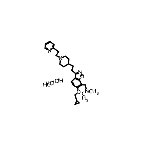 CN(C)Cc1c(OCC2CC2)ccc2c(CCC3CCN(CCc4ccccn4)CC3)noc12.Cl.Cl.Cl